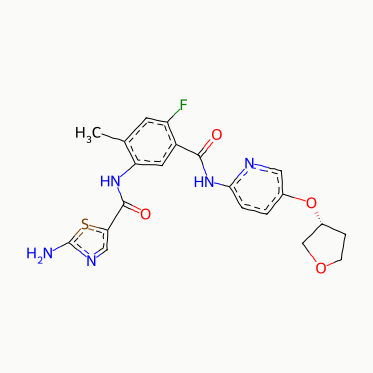 Cc1cc(F)c(C(=O)Nc2ccc(O[C@@H]3CCOC3)cn2)cc1NC(=O)c1cnc(N)s1